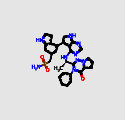 C[C@H](Nc1ncnc2[nH]cc(-c3cc(CS(N)(=O)=O)cc4[nH]ccc34)c12)c1nn2cccc2c(=O)n1-c1ccccc1